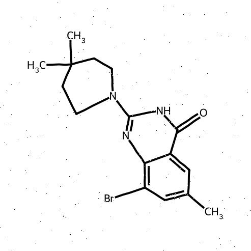 Cc1cc(Br)c2nc(N3CCC(C)(C)CC3)[nH]c(=O)c2c1